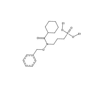 CCOP(=O)(CCCN(OCc1ccccc1)C(=O)C1CCCCC1)OCC